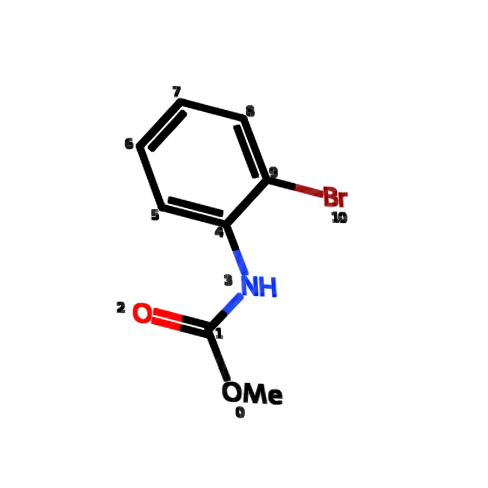 COC(=O)Nc1ccccc1Br